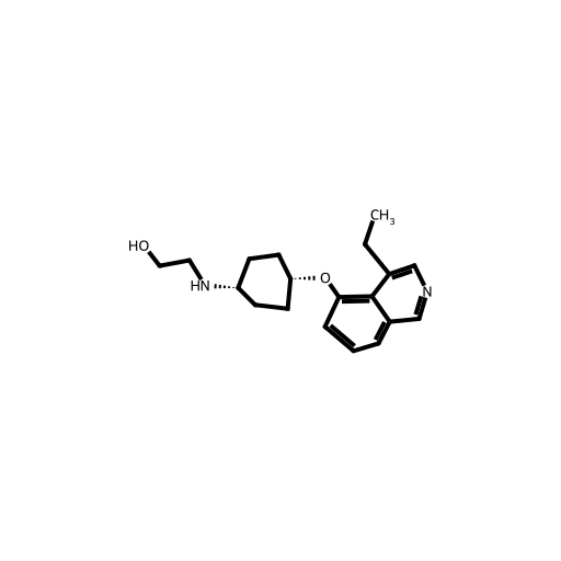 CCc1cncc2cccc(O[C@H]3CC[C@@H](NCCO)CC3)c12